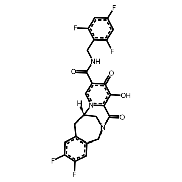 O=C(NCc1c(F)cc(F)cc1F)c1cn2c(c(O)c1=O)C(=O)N1Cc3cc(F)c(F)cc3C[C@H]2C1